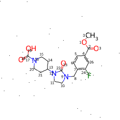 COC(=O)c1ccc(CN2CCN(C3CCN(C(=O)O)CC3)C2=O)c(F)c1